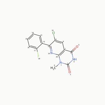 Cn1c(=O)[nH]c(=O)c2cc(Cl)c(-c3ccccc3F)nc21